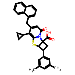 Cc1cc(C)cc([C@@H]2CC3(C(=O)O)C2Sc2c(C4CC4)c(Cc4cccc5ccccc45)cc(=O)n23)c1